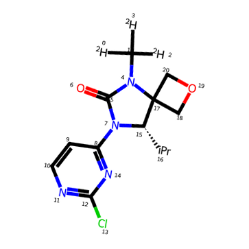 [2H]C([2H])([2H])N1C(=O)N(c2ccnc(Cl)n2)[C@@H](C(C)C)C12COC2